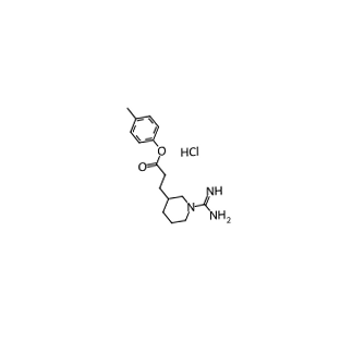 Cc1ccc(OC(=O)CCC2CCCN(C(=N)N)C2)cc1.Cl